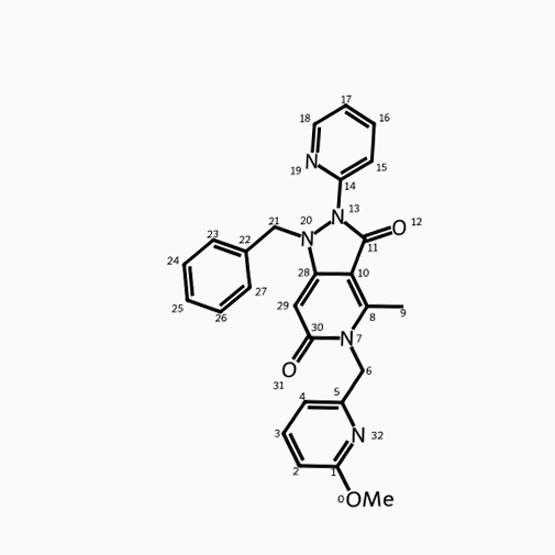 COc1cccc(Cn2c(C)c3c(=O)n(-c4ccccn4)n(Cc4ccccc4)c3cc2=O)n1